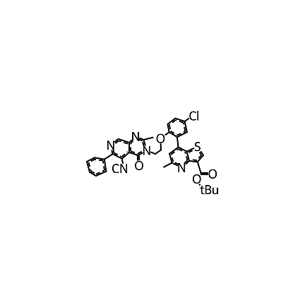 Cc1cc(-c2cc(Cl)ccc2OCCn2c(C)nc3cnc(-c4ccccc4)c(C#N)c3c2=O)c2scc(C(=O)OC(C)(C)C)c2n1